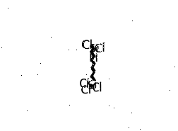 Cl[SiH](Cl)CCCCCCCC[Si](Cl)(Cl)Cl